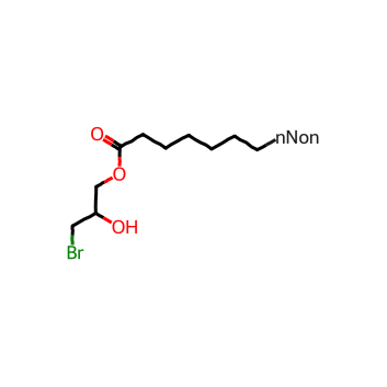 CCCCCCCCCCCCCCCC(=O)OCC(O)CBr